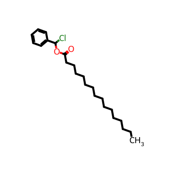 CCCCCCCCCCCCCCCC(=O)OC(Cl)c1ccccc1